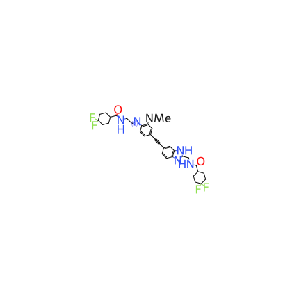 CNc1cc(C#Cc2ccc3nc(CNC(=O)C4CCC(F)(F)CC4)[nH]c3c2)ccc1/N=C/CNC(=O)C1CCC(F)(F)CC1